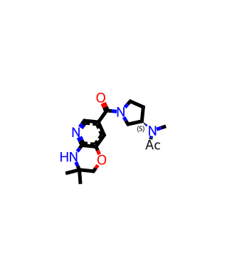 CC(=O)N(C)[C@H]1CCN(C(=O)c2cnc3c(c2)OCC(C)(C)N3)C1